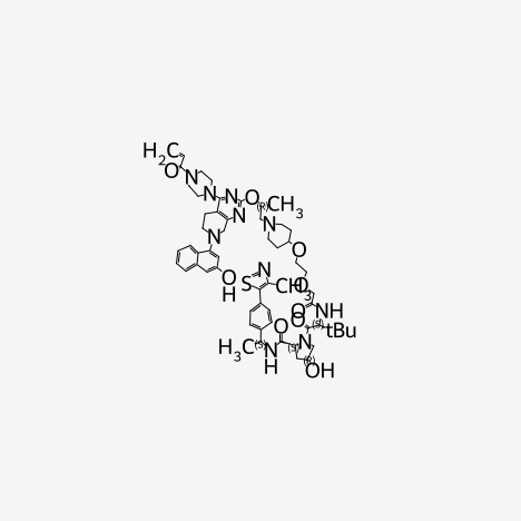 C=CC(=O)N1CCN(c2nc(O[C@H](C)CN3CCC(OCCOCC(=O)N[C@H](C(=O)N4C[C@H](O)C[C@H]4C(=O)N[C@@H](C)c4ccc(-c5scnc5C)cc4)C(C)(C)C)CC3)nc3c2CCN(c2cc(O)cc4ccccc24)C3)CC1